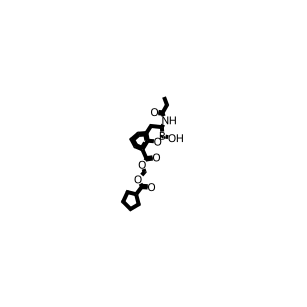 CCC(=O)NC1Cc2cccc(C(=O)OCOC(=O)C3CCCC3)c2OB1O